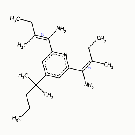 CCCC(C)(C)c1cc(/C(N)=C(\C)CC)nc(/C(N)=C(/C)CC)c1